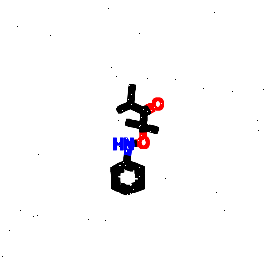 CC(C)C(=O)C(C)(C)ONc1ccccc1